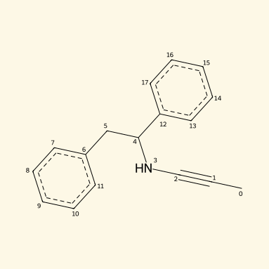 CC#CNC(Cc1ccccc1)c1ccccc1